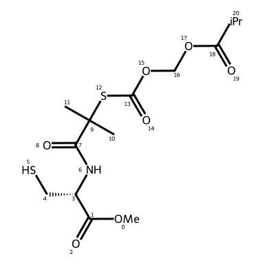 COC(=O)[C@H](CS)NC(=O)C(C)(C)SC(=O)OCOC(=O)C(C)C